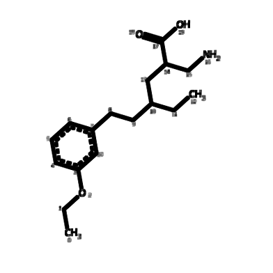 CCOc1cccc(CCC(CC)CC(CN)C(=O)O)c1